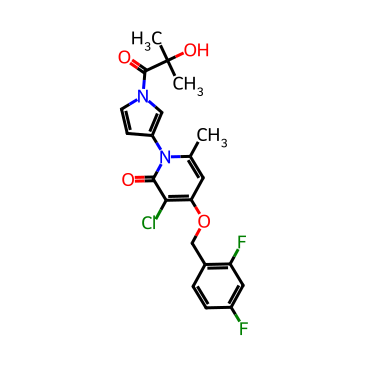 Cc1cc(OCc2ccc(F)cc2F)c(Cl)c(=O)n1-c1ccn(C(=O)C(C)(C)O)c1